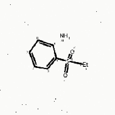 CCS(=O)(=O)c1ccccc1.N